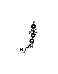 CCCCC[Si@H]1CC[C@H](c2cc(F)c(C(=O)Oc3ccc(F)cc3)c(F)c2)CC1